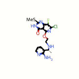 CSc1nc2c(F)c(Cl)nc(OCCN[C@H](C)c3cccnc3N)c2c(=O)[nH]1